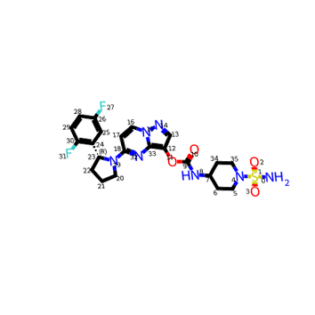 NS(=O)(=O)N1CCC(NC(=O)Oc2cnn3ccc(N4CCC[C@@H]4c4cc(F)ccc4F)nc23)CC1